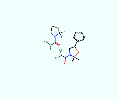 CC1(C)OC(c2ccccc2)CN1C(=O)C(Cl)Cl.CC1(C)SCCN1C(=O)C(Cl)Cl